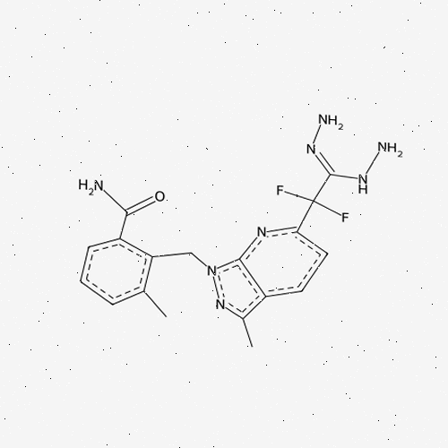 Cc1cccc(C(N)=O)c1Cn1nc(C)c2ccc(C(F)(F)/C(=N/N)NN)nc21